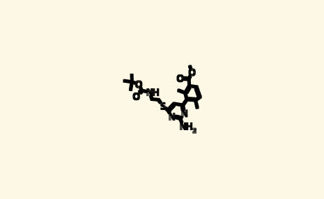 COC(=O)c1ccc(C)c(-c2cc(SCCNC(=O)OC(C)(C)C)nc(N)n2)c1C